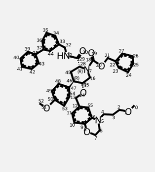 COCCCN1CCOc2ccc(CO[C@H]3CN(C(=O)OCc4ccccc4)[C@@H](C(=O)NCc4cccc(-c5ccccc5)c4)C[C@@H]3c3ccc(OC)cc3)cc21